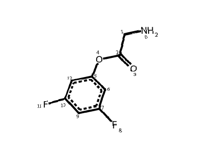 NCC(=O)Oc1cc(F)cc(F)c1